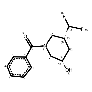 O=C(c1ccccc1)N1C[C@@H](O)C[C@@H](C(F)F)C1